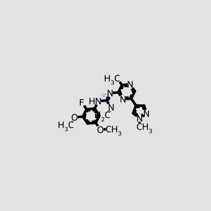 C=N/C(=N\c1nc(-c2cnn(C)c2)cnc1C)Nc1cc(OC)cc(OC)c1F